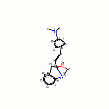 CN(C)c1ccc(/C=C/C23Cc4ccccc4N2CCO3)cc1